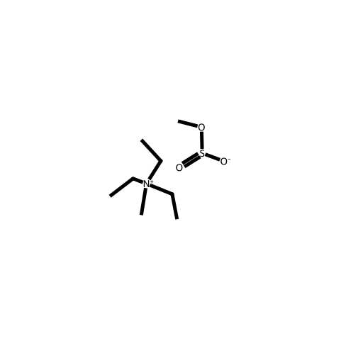 CC[N+](C)(CC)CC.COS(=O)[O-]